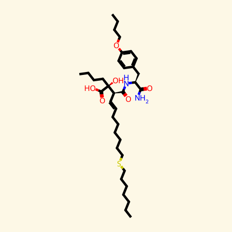 CCCCCCCSCCCCCC/C=C/[C@H](C(=O)N[C@@H](Cc1ccc(OCCCC)cc1)C(N)=O)[C@@](O)(CCCC)C(=O)O